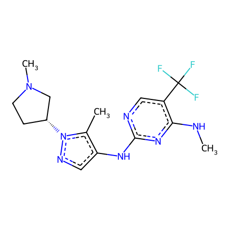 CNc1nc(Nc2cnn([C@@H]3CCN(C)C3)c2C)ncc1C(F)(F)F